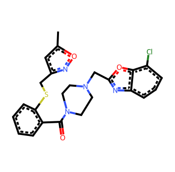 Cc1cc(CSc2ccccc2C(=O)N2CCN(Cc3nc4cccc(Cl)c4o3)CC2)no1